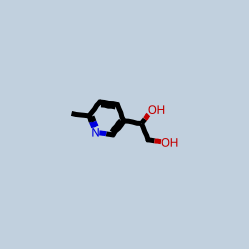 Cc1ccc(C(O)CO)cn1